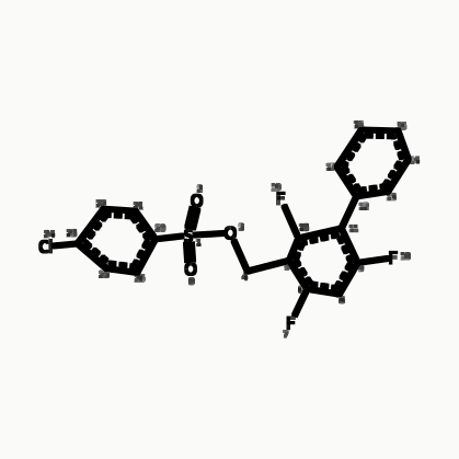 O=S(=O)(OCc1c(F)cc(F)c(-c2ccccc2)c1F)c1ccc(Cl)cc1